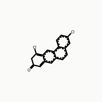 O=C1C=c2cc3ccc4cc(Cl)ccc4c3cc2=C(Cl)C1